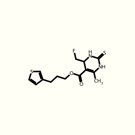 CC1=C(C(=O)OCCCc2ccsc2)C(CF)NC(=S)N1